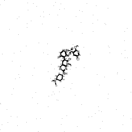 COc1ncc(Cl)cc1S(=O)(=O)Nc1ccc(F)c(-c2cc3cnc(N[C@H]4CC[C@H](N(C)C)CC4)nc3n(C)c2=O)c1F